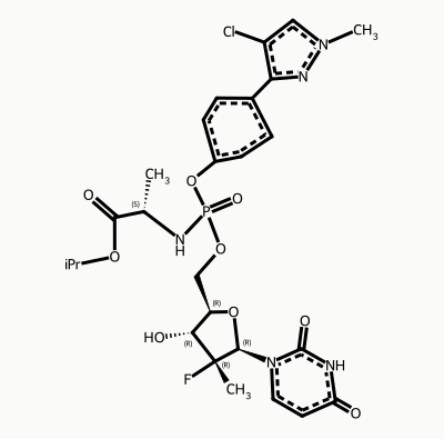 CC(C)OC(=O)[C@H](C)NP(=O)(OC[C@H]1O[C@@H](n2ccc(=O)[nH]c2=O)[C@](C)(F)[C@@H]1O)Oc1ccc(-c2nn(C)cc2Cl)cc1